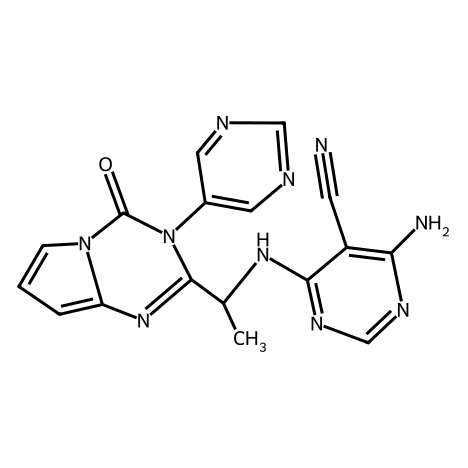 CC(Nc1ncnc(N)c1C#N)c1nc2cccn2c(=O)n1-c1cncnc1